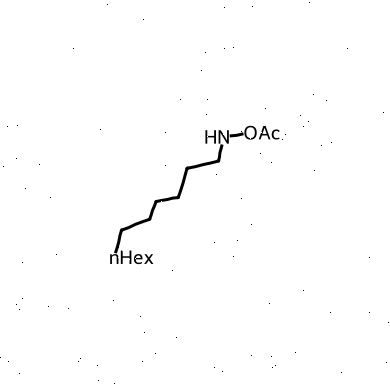 CCCCCCCCCCCCNOC(C)=O